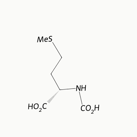 CSCC[C@H](NC(=O)O)C(=O)O